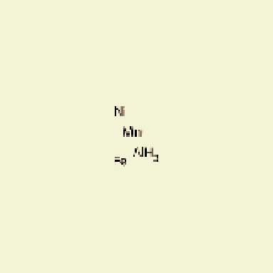 [AlH3].[Fe].[Mn].[Ni]